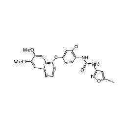 COc1cc2ncnc(Oc3ccc(NC(=O)Nc4cc(C)on4)c(Cl)c3)c2cc1OC